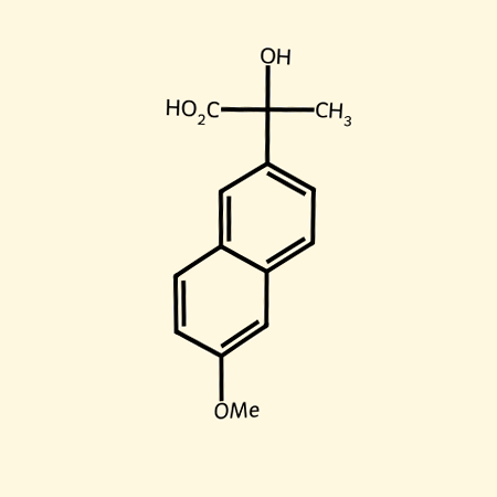 COc1ccc2cc(C(C)(O)C(=O)O)ccc2c1